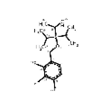 CC(C)[Si](OCc1ccc(F)c(I)c1F)(C(C)C)C(C)C